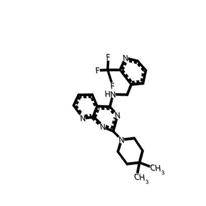 CC1(C)CCN(c2nc(NCc3cccnc3C(F)(F)F)c3cccnc3n2)CC1